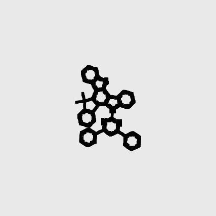 CC1(C)c2ccccc2-c2c1c1c3ccccc3sc1c1c3ccccc3n(-c3nc(-c4ccccc4)cc(-c4ccccc4)n3)c21